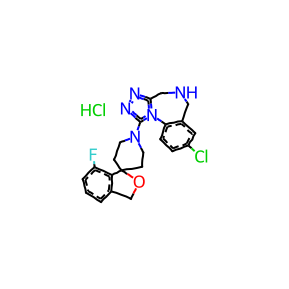 Cl.Fc1cccc2c1C1(CCN(c3nnc4n3-c3ccc(Cl)cc3CNC4)CC1)OC2